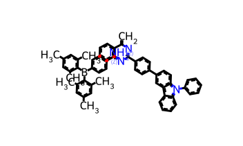 C=C(/N=C(\N=C(/N)c1ccc(B(c2c(C)cc(C)cc2C)c2c(C)cc(C)cc2C)cc1)c1ccc(-c2ccc3c(c2)c2ccccc2n3-c2ccccc2)cc1)c1ccccc1